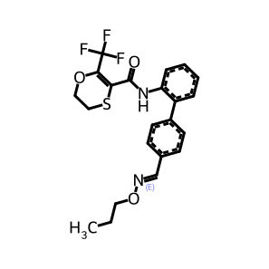 CCCO/N=C/c1ccc(-c2ccccc2NC(=O)C2=C(C(F)(F)F)OCCS2)cc1